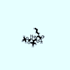 CCCC[C@H](NC(=O)[C@@H](NC(=O)OC(C)(C)C)C(C)(C)C)C(=O)OC